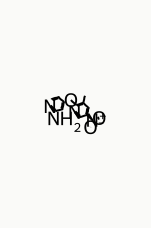 Cc1cc([N+](=O)[O-])cnc1Oc1ccnc(N)c1